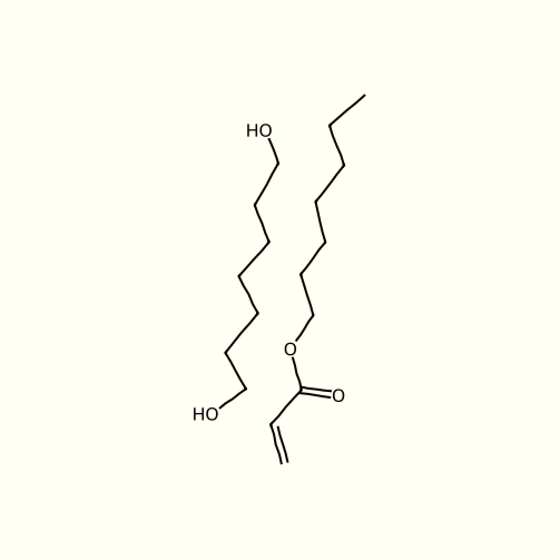 C=CC(=O)OCCCCCCC.OCCCCCCCO